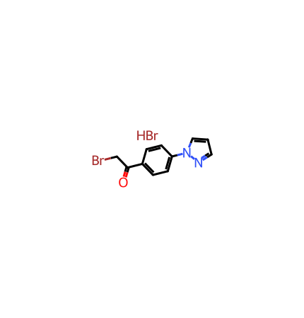 Br.O=C(CBr)c1ccc(-n2cccn2)cc1